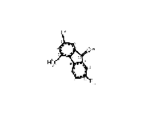 Cc1cc(F)cc2c1-c1ccc(F)cc1C2=O